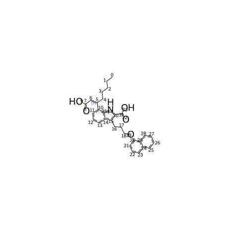 CCCCC/C(=C/C(=O)O)c1cccc2c(CCCOc3cccc4ccccc34)c(C(=O)O)[nH]c12